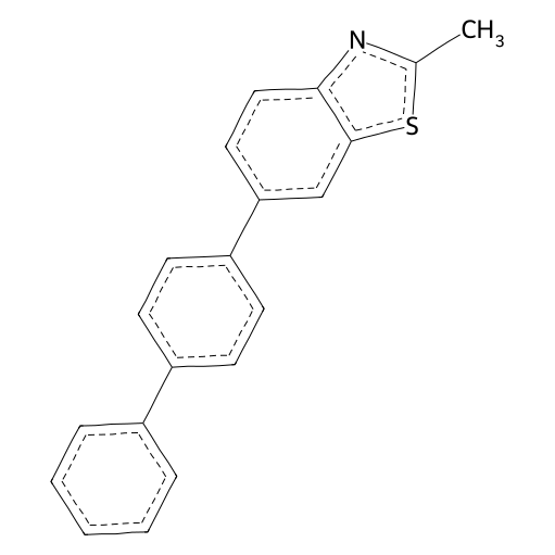 Cc1nc2ccc(-c3ccc(-c4ccccc4)cc3)cc2s1